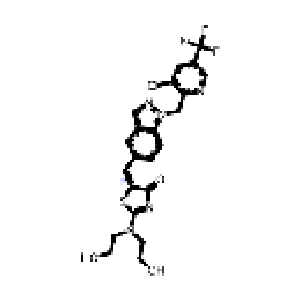 O=C1N=C(N(CCO)CCO)S/C1=C/c1ccc2c(cnn2Cc2ncc(C(F)(F)F)cc2Cl)c1